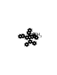 CC12CC3=C(C=C1C(c1cc(-c4ccccc4)cc(-c4ccccc4)c1)=c1ccc(-c4ccc5ccccc5c4)cc1=C2c1ccc2ccccc2c1)c1ccccc1[Si]3(C)C